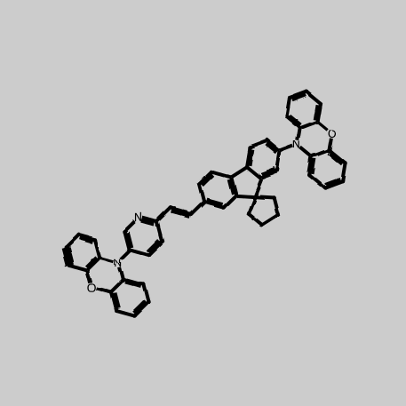 c1ccc2c(c#1)Oc1ccccc1N2c1ccc(/C=C/c2ccc3c(c2)C2(CCCC2)c2cc(N4c5ccccc5Oc5ccccc54)ccc2-3)nc1